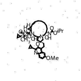 COc1ccc2nc(C3CC3)c3c(c2c1)CC[C@]1(C[C@H]2C(=O)N[C@]4(C(=O)NS(=O)(=O)C5(C)CC5)C[C@H]4/C=C\CCCCC[C@H](NC(=O)OC(C)C)C(=O)N2C1)O3